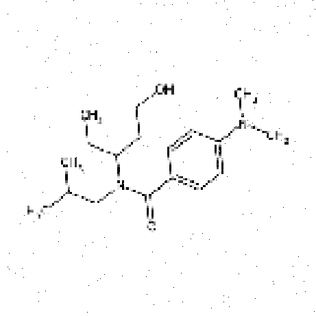 CCC(CCO)N(CC(C)C)C(=O)c1ccc(N(C)C)cc1